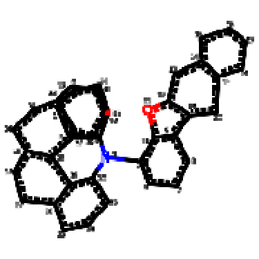 c1ccc(N(c2cccc3c2oc2cc4ccccc4cc23)c2cccc3ccc4ccc5ccccc5c4c23)cc1